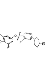 CCC1CCC(c2ccc(C(F)(F)Oc3cc(F)c(C#N)c(F)c3)c(F)c2)CC1